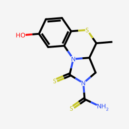 CC1Sc2ccc(O)cc2N2C(=S)N(C(N)=S)CC12